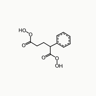 O=C(CCC(C(=O)OO)c1ccccc1)OO